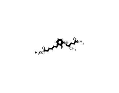 COC(=O)CCCCCc1cccc(NC[C@@H](C)CCC(N)=O)c1F